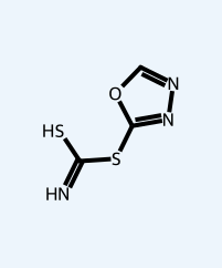 N=C(S)Sc1nnco1